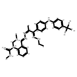 CCON=C(C(C)=NN=Cc1ccccc1N(COC)C(=O)OC)c1ccc(Oc2ccc(C(F)(F)F)cc2)cc1